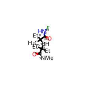 CCC(C)(BC(CC)(CC)C(=O)NC)C(=O)NF